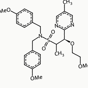 COCCO[C@H](c1ncc(C)cn1)C(C)S(=O)(=O)N(Cc1ccc(OC)cc1)Cc1ccc(OC)cc1